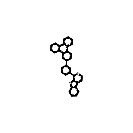 c1cc(-c2ccc3c4ccccc4c4ccccc4c3c2)cc(-c2nccc3c2sc2ccccc23)c1